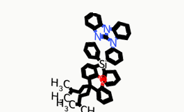 CC(C)CCC1(CCC(C)C)c2ccccc2Oc2c1cccc2[Si](c1ccccc1)(c1ccccc1)c1cccc(-n2c3ccccc3n3c4ccccc4nc23)c1